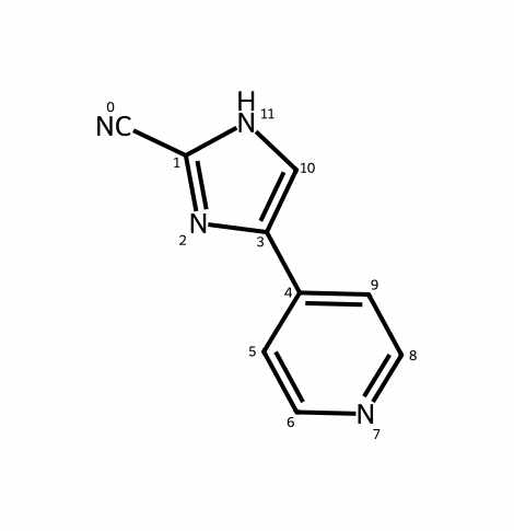 N#Cc1nc(-c2ccncc2)c[nH]1